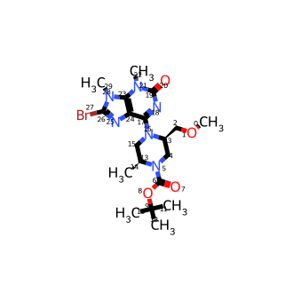 COC[C@H]1CN(C(=O)OC(C)(C)C)[C@H](C)CN1c1nc(=O)n(C)c2c1nc(Br)n2C